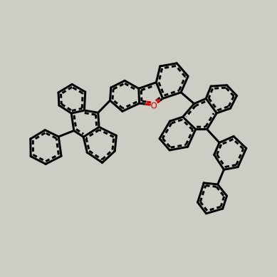 c1ccc(-c2cccc(-c3c4ccccc4c(-c4cccc5c4oc4cc(-c6c7ccccc7c(-c7ccccc7)c7ccccc67)ccc45)c4ccccc34)c2)cc1